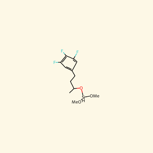 CO[SiH](OC)OC(C)CCc1cc(F)c(F)c(F)c1